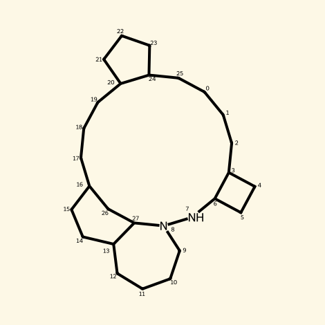 C1CCC2CCC2NN2CCCCC3CCC(CCCC4CCCC4C1)CC32